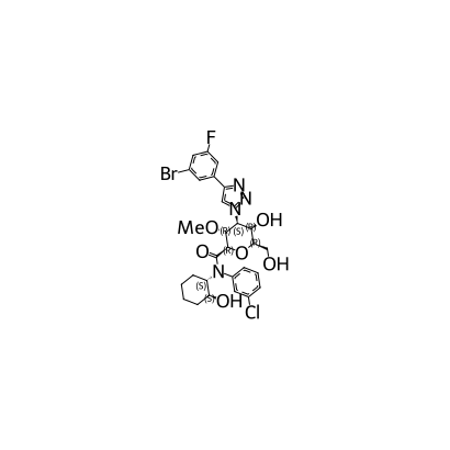 CO[C@@H]1[C@@H](n2cc(-c3cc(F)cc(Br)c3)nn2)[C@@H](O)[C@@H](CO)O[C@H]1C(=O)N(c1cccc(Cl)c1)[C@H]1CCCC[C@@H]1O